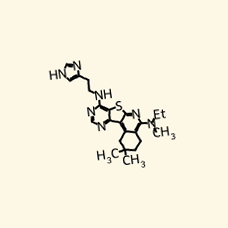 CCN(C)c1nc2sc3c(NCCc4c[nH]cn4)ncnc3c2c2c1CCC(C)(C)C2